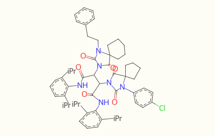 CC(C)c1cccc(C(C)C)c1NC(=O)C(C(C(=O)Nc1c(C(C)C)cccc1C(C)C)N1C(=O)N(c2ccc(Cl)cc2)C2(CCCC2)C1=O)N1C(=O)N(CCc2ccccc2)C2(CCCCC2)C1=O